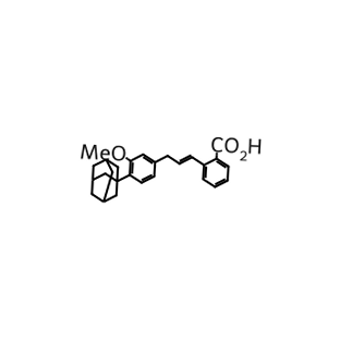 COc1cc(CC=Cc2ccccc2C(=O)O)ccc1C12CC3CC(CC(C3)C1)C2